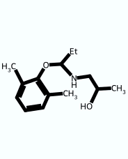 CCC(NCC(C)O)Oc1c(C)cccc1C